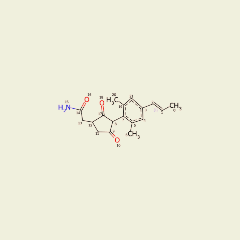 C/C=C/c1cc(C)c(C2C(=O)CC(CC(N)=O)C2=O)c(C)c1